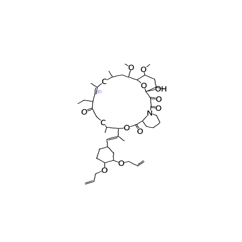 C=CCOC1CCC(C=C(C)C2OC(=O)C3CCCCN3C(=O)C(=O)C3(O)OC(C(OC)CC(C)C/C(C)=C/C(CC)C(=O)CCC2C)C(OC)CC3C)CC1OCC=C